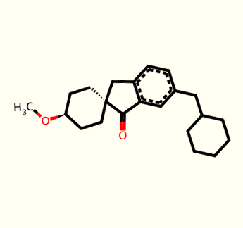 CO[C@H]1CC[C@]2(CC1)Cc1ccc(CC3CCCCC3)cc1C2=O